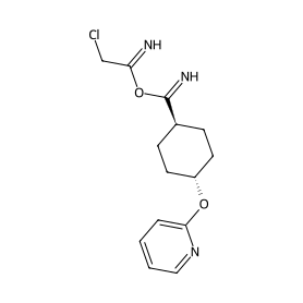 N=C(CCl)OC(=N)[C@H]1CC[C@H](Oc2ccccn2)CC1